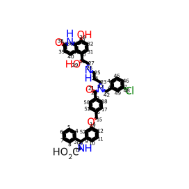 O=C(O)N[C@@H](c1ccccc1)c1cccc(OCc2ccc(C(=O)N(CCCNCC(O)c3ccc(O)c4[nH]c(=O)ccc34)Cc3cccc(Cl)c3)cc2)c1